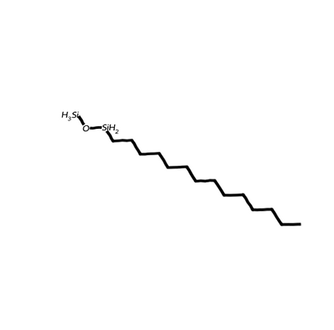 CCCCCCCCCCCCCC[SiH2]O[SiH3]